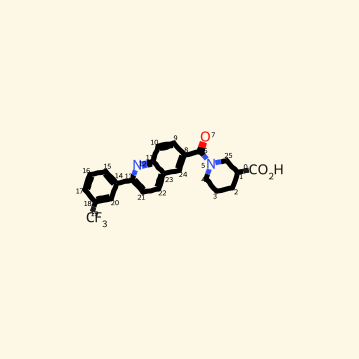 O=C(O)C1CCCN(C(=O)c2ccc3nc(-c4cccc(C(F)(F)F)c4)ccc3c2)C1